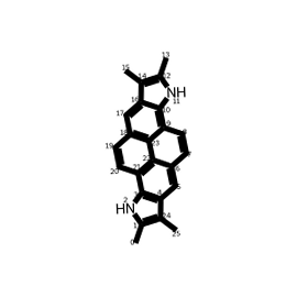 Cc1[nH]c2c(cc3ccc4c5[nH]c(C)c(C)c5cc5ccc2c3c54)c1C